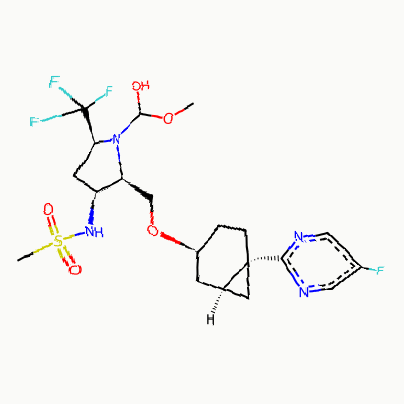 COC(O)N1[C@H](C(F)(F)F)C[C@H](NS(C)(=O)=O)[C@@H]1CO[C@H]1CC[C@@]2(c3ncc(F)cn3)C[C@H]2C1